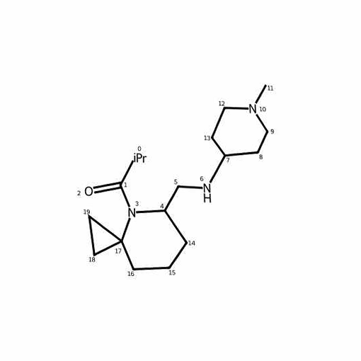 CC(C)C(=O)N1C(CNC2CCN(C)CC2)CCCC12CC2